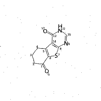 O=C1CCCc2c1sc1nc[nH]c(=O)c21